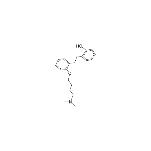 CN(C)CCCCOc1ccccc1CCc1ccccc1O